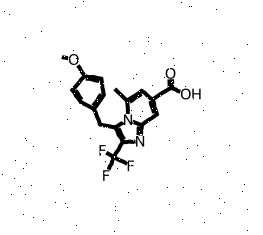 COc1ccc(Cc2c(C(F)(F)F)nc3cc(C(=O)O)cc(C)n23)cc1